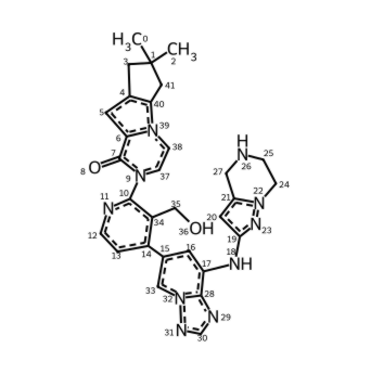 CC1(C)Cc2cc3c(=O)n(-c4nccc(-c5cc(Nc6cc7n(n6)CCNC7)c6ncnn6c5)c4CO)ccn3c2C1